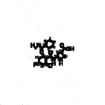 NC(=O)c1ccccc1.O=C(O)c1cc(NC(=O)c2ccc(F)cc2Cl)[nH]n1